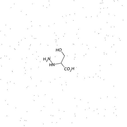 NNC(CO)C(=O)O